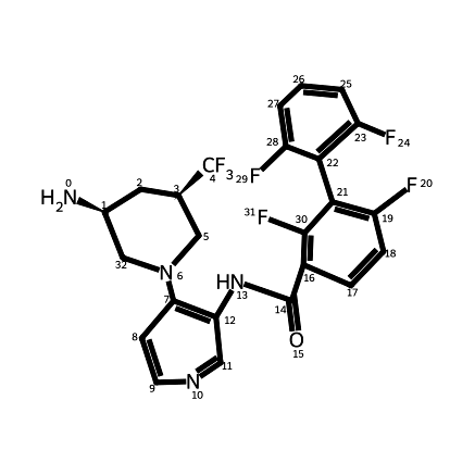 N[C@H]1C[C@@H](C(F)(F)F)CN(c2ccncc2NC(=O)c2ccc(F)c(-c3c(F)cccc3F)c2F)C1